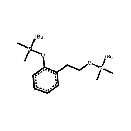 CC(C)(C)[Si](C)(C)OCCc1ccccc1O[Si](C)(C)C(C)(C)C